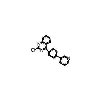 Clc1nc(-c2ccc(-c3cccnc3)cc2)c2ccccc2n1